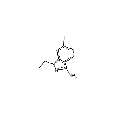 CCn1nc(N)c2ccc(I)cc21